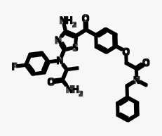 CC(C(N)=O)N(c1ccc(F)cc1)c1nc(N)c(C(=O)c2ccc(OCC(=O)N(C)Cc3ccccc3)cc2)s1